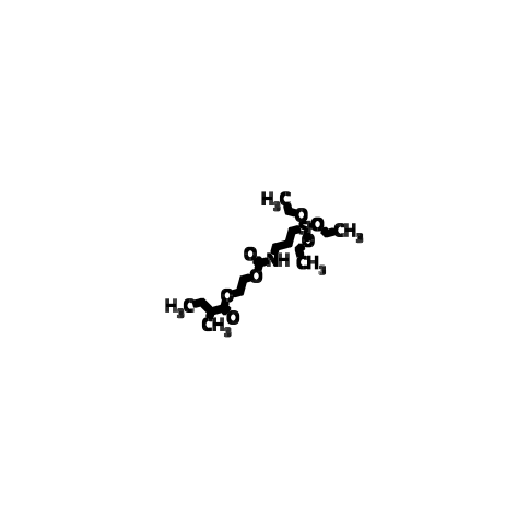 CCO[Si](CCCNC(=O)OCCOC(=O)C(C)CC)(OCC)OCC